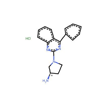 Cl.N[C@@H]1CCN(c2nc(-c3ccccc3)c3ccccc3n2)C1